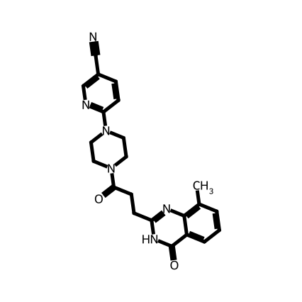 Cc1cccc2c(=O)[nH]c(CCC(=O)N3CCN(c4ccc(C#N)cn4)CC3)nc12